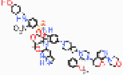 CC(C)Oc1ccccc1[C@H]1CN([C@@H]2CCOc3c2ccnc3N2CCOCC2)CCN1C1CC2(CCN(c3ccc(C(=O)NS(=O)(=O)c4ccc(NC[C@H]5CC[C@](C)(O)CC5)c([N+](=O)[O-])c4)c(N4c5cc6cc[nH]c6nc5O[C@H]5COCC[C@@H]54)c3)CC2)C1